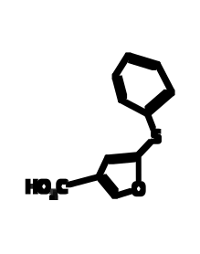 O=C(O)c1coc(Sc2ccccc2)c1